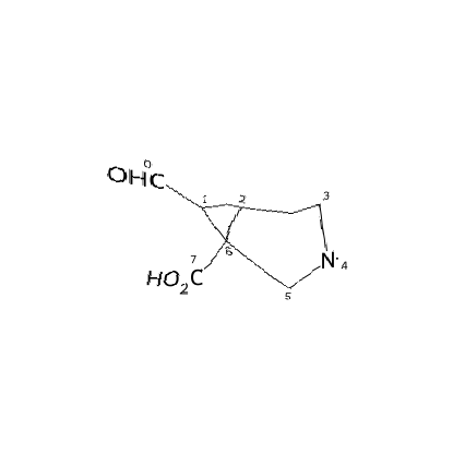 O=CC1C2C[N]CC12C(=O)O